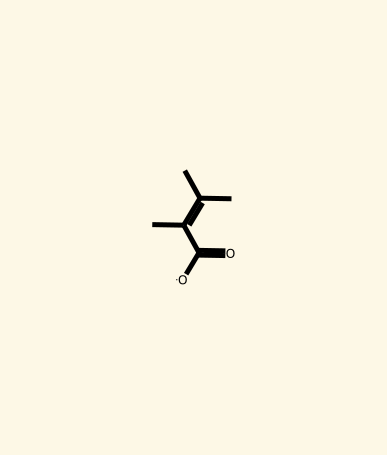 CC(C)=C(C)C([O])=O